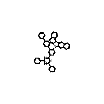 c1ccc(-c2ccc(-c3cc(-c4nc(-c5ccccc5)nc(-c5ccccc5)n4)ccc3-n3c4cc5ccccc5cc4c4c5ccccc5ccc43)cc2)cc1